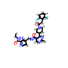 CCNC(=O)c1cc(CNC(=O)c2cnc(C)nc2C2CCN(C(=O)Cc3c(F)cccc3F)CC2)ccn1